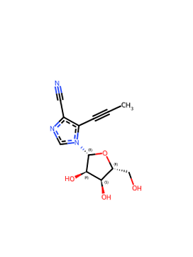 CC#Cc1c(C#N)ncn1[C@@H]1O[C@H](CO)[C@@H](O)[C@H]1O